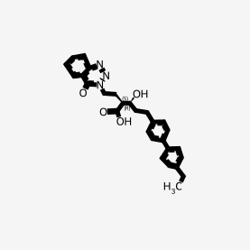 CCc1ccc(-c2ccc(CC[C@@H](O)[C@H](CCn3nnc4ccccc4c3=O)C(=O)O)cc2)cc1